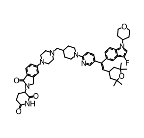 CC1(C)CC(C=C(c2ccc(N3CCC(CN4CCN(c5ccc6c(c5)CN(C5CCC(=O)NC5=O)C6=O)CC4)CC3)nc2)c2ccc3c(c2)c(F)cn3C2CCOCC2)CC(C)(C)O1